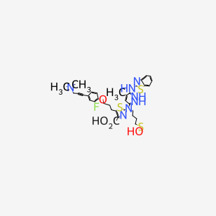 C/C(=C/C(=N)N(CCCCSO)c1nc(C(=O)O)c(CCCOc2ccc(C#CCN(C)C)cc2F)s1)C(=N)Nc1nc2ccccc2s1